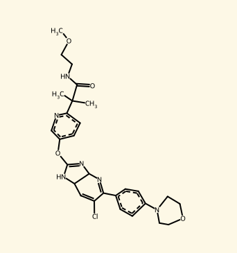 COCCNC(=O)C(C)(C)c1ccc(OC2=NC3N=C(c4ccc(N5CCOCC5)cc4)C(Cl)=CC3N2)cn1